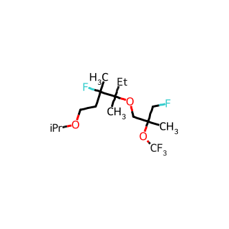 CCC(C)(OCC(C)(CF)OC(F)(F)F)C(C)(F)CCOC(C)C